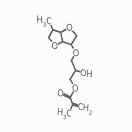 C=C(C)C(=O)OCC(O)COC1COC2C(C)COC12